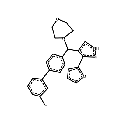 Fc1cccc(-c2ccc(C(c3c[nH]nc3-c3ccco3)N3CCOCC3)cc2)c1